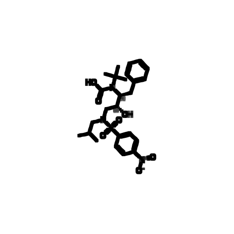 CC(C)CN(C[C@@H](O)[C@H](Cc1ccccc1)N(C(=O)O)C(C)(C)C)S(=O)(=O)c1ccc([N+](=O)[O-])cc1